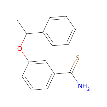 CC(Oc1cccc(C(N)=S)c1)c1ccccc1